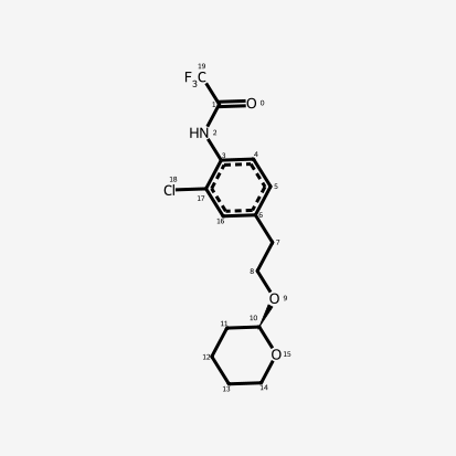 O=C(Nc1ccc(CCO[C@@H]2CCCCO2)cc1Cl)C(F)(F)F